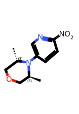 C[C@H]1COC[C@H](C)N1c1ccc([N+](=O)[O-])nc1